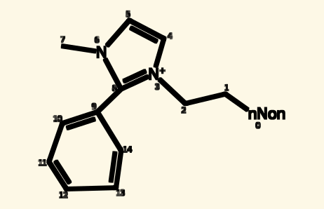 CCCCCCCCCCC[n+]1ccn(C)c1-c1ccccc1